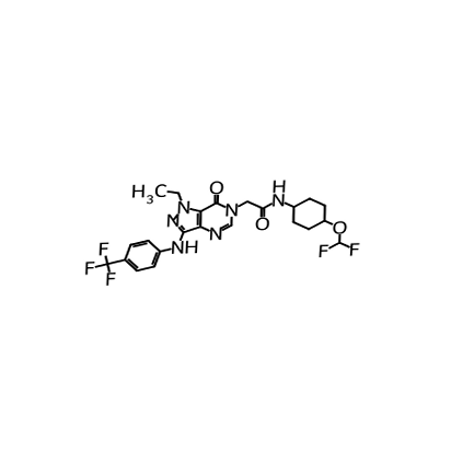 CCn1nc(Nc2ccc(C(F)(F)F)cc2)c2ncn(CC(=O)NC3CCC(OC(F)F)CC3)c(=O)c21